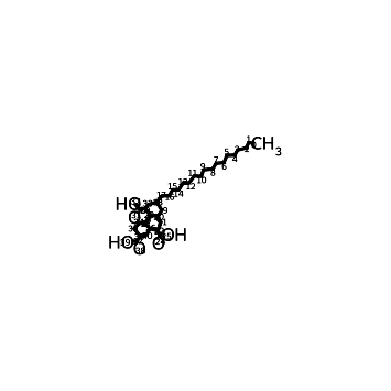 CCCCCCCCCCCCCCCCCCC1Cc2cc(C(=O)O)c3c(c2C(C(=O)O)C1)CCC(C(=O)O)=C3